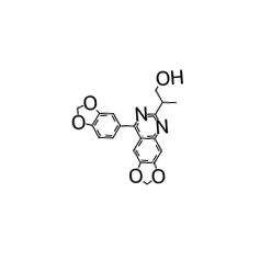 CC(CO)c1nc(-c2ccc3c(c2)OCO3)c2cc3c(cc2n1)OCO3